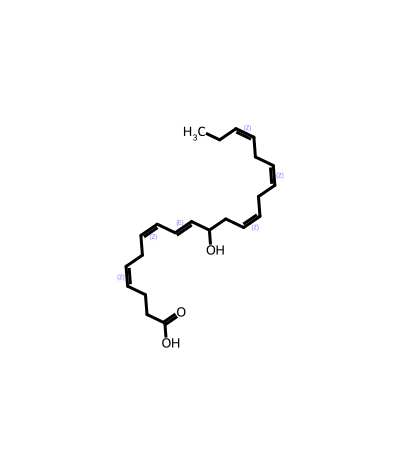 CC/C=C\C/C=C\C/C=C\CC(O)/C=C/C=C\C/C=C\CCC(=O)O